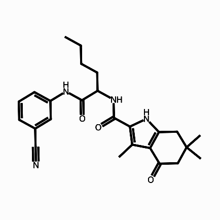 CCCCC(NC(=O)c1[nH]c2c(c1C)C(=O)CC(C)(C)C2)C(=O)Nc1cccc(C#N)c1